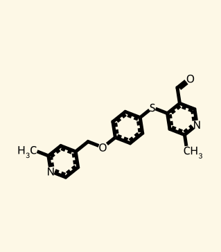 Cc1cc(COc2ccc(Sc3cc(C)ncc3C=O)cc2)ccn1